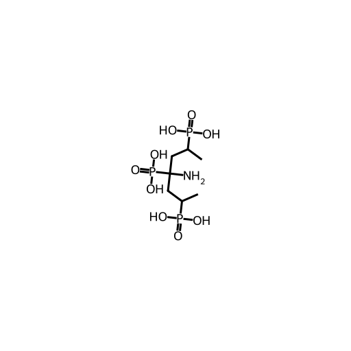 CC(CC(N)(CC(C)P(=O)(O)O)P(=O)(O)O)P(=O)(O)O